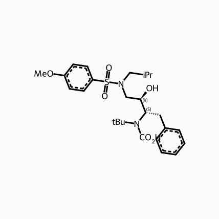 COc1ccc(S(=O)(=O)N(CC(C)C)C[C@@H](O)[C@H](Cc2ccccc2)N(C(=O)O)C(C)(C)C)cc1